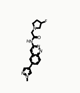 Cn1cc(-c2ccc3nnc(NC(=O)CN4CCC(F)C4)cc3c2)cn1